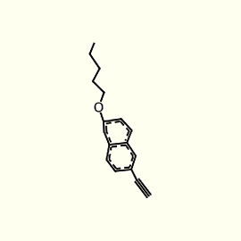 C#Cc1ccc2cc(OCCCCC)ccc2c1